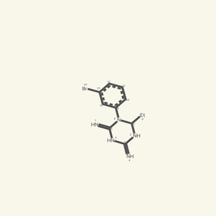 CCC1NC(=N)NC(=N)N1c1cccc(Br)c1